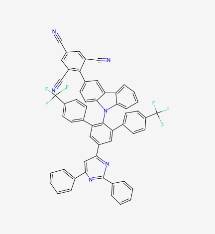 N#Cc1cc(C#N)c(-c2ccc3c(c2)c2ccccc2n3-c2c(-c3ccc(C(F)(F)F)cc3)cc(-c3cc(-c4ccccc4)nc(-c4ccccc4)n3)cc2-c2ccc(C(F)(F)F)cc2)c(C#N)c1